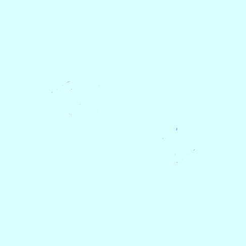 CC(C)(C)OC(=O)N1[C@H](c2nc(-c3ccc(-c4ccc5cc(-c6c[nH]c([C@@H]7C[C@@H]8CCC[C@@H]8N7C(=O)OC(C)(C)C)n6)ccc5c4)cc3)c[nH]2)C[C@@H]2CCC[C@@H]21